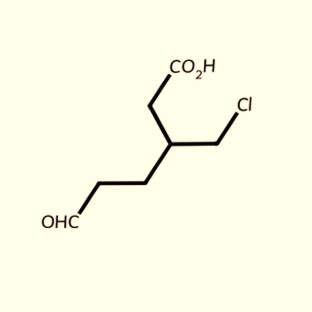 O=CCCC(CCl)CC(=O)O